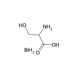 NC(CO)C(=O)O.[BiH3]